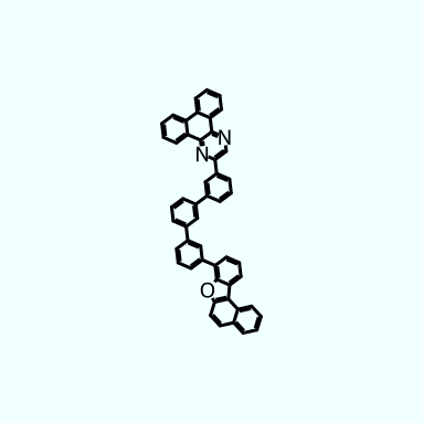 c1cc(-c2cccc(-c3cnc4c5ccccc5c5ccccc5c4n3)c2)cc(-c2cccc(-c3cccc4c3oc3ccc5ccccc5c34)c2)c1